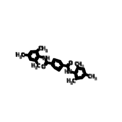 Cc1cc(C)c(NC(=O)c2ccc(C(=O)Nc3c(C)cc(C)cc3C)cc2)c(C)c1